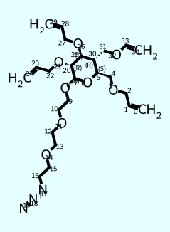 C=CCOC[C@H]1O[C@@H](OCCOCCOCCN=[N+]=[N-])[C@H](OCC=C)[C@@H](OCC=C)[C@@H]1COC=C